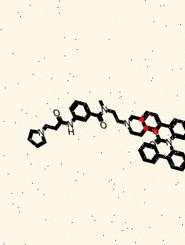 CN(CCN1CCC(OC(=O)N(c2ccccc2-c2ccccc2)c2ccccc2-c2ccccc2)CC1)C(=O)c1cccc(NC(=O)CCN2CCCC2)c1